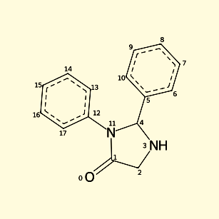 O=C1CNC(c2ccccc2)N1c1ccccc1